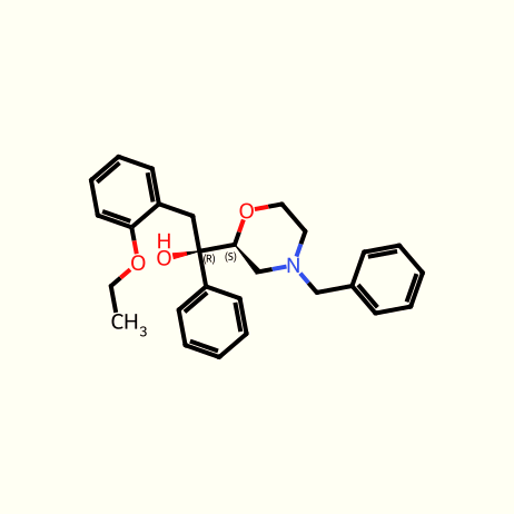 CCOc1ccccc1C[C@@](O)(c1ccccc1)[C@@H]1CN(Cc2ccccc2)CCO1